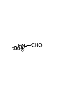 CC(C)(C)OC(=O)NCCCC[C]=O